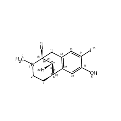 CN1CC[C@]23CCCC[C@H]2[C@H]1Cc1cc(I)c(O)cc13